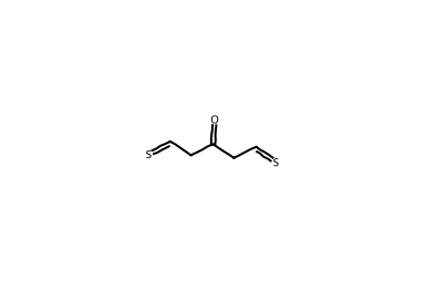 O=C(CC=S)CC=S